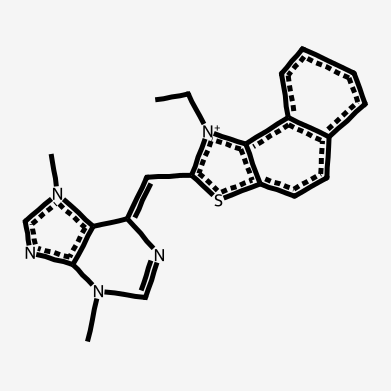 CC[n+]1c(C=C2N=CN(C)c3ncn(C)c32)sc2ccc3ccccc3c21